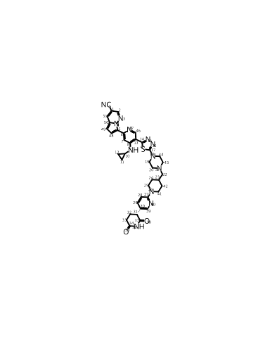 N#Cc1cnn2c(-c3cc(NC4CC4)c(-c4nnc(N5CCN(CC6CCN(c7ccc([C@H]8CCC(=O)NC8=O)cn7)CC6)CC5)s4)cn3)ccc2c1